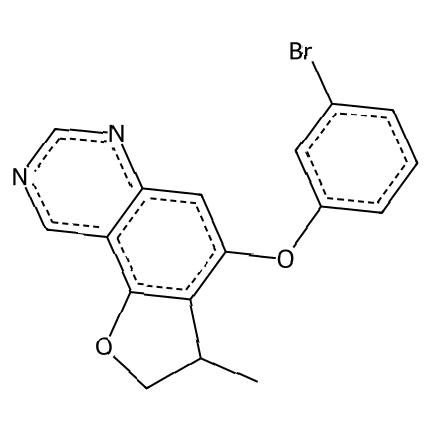 CC1COc2c1c(Oc1cccc(Br)c1)cc1ncncc21